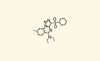 CCN(CC)c1nc2c(S(=O)(=O)c3ccccc3)nnn2c2cc(C)ccc12